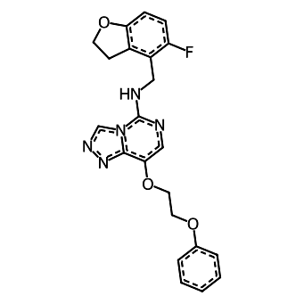 Fc1ccc2c(c1CNc1ncc(OCCOc3ccccc3)c3nncn13)CCO2